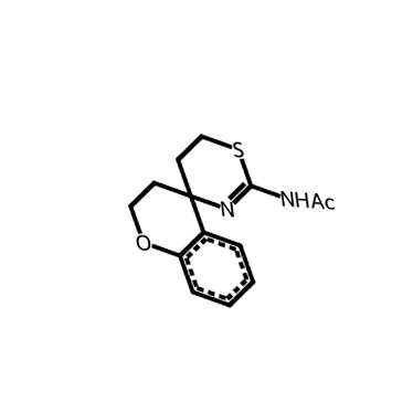 CC(=O)NC1=NC2(CCOc3ccccc32)CCS1